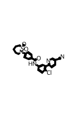 N#Cc1ccc(-c2cc(NC(=O)c3ccc(N4CCCCCS4(=O)=O)cc3)ccc2Cl)nc1